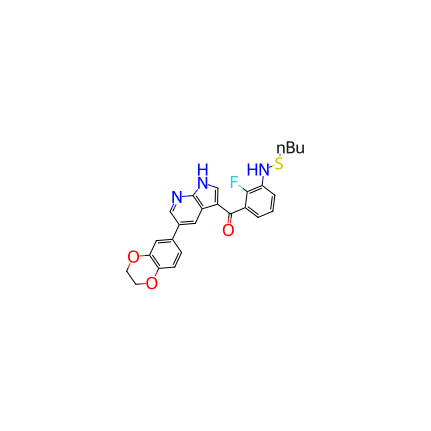 CCCCSNc1cccc(C(=O)c2c[nH]c3ncc(-c4ccc5c(c4)OCCO5)cc23)c1F